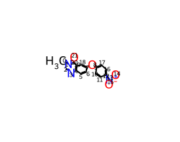 Cn1cnc2ccc(Oc3ccc([N+](=O)[O-])cc3)cc2c1=O